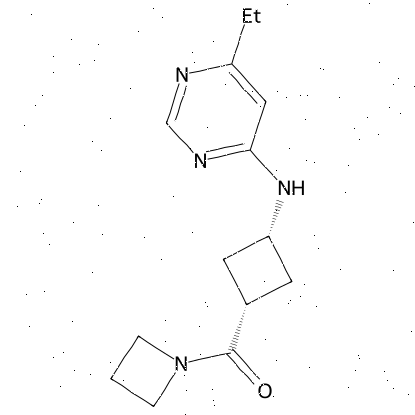 CCc1cc(N[C@H]2C[C@@H](C(=O)N3CCC3)C2)ncn1